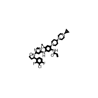 C=CC(=O)Nc1cc(Nc2cc(N3OCCC3c3ccc(F)c(Cl)c3F)ncn2)c(OC)cc1N1CCC(N2CCN(C3CC3)CC2)CC1